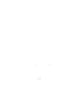 CCCCC1CCC(C2CCC(C#N)(CCCC)CC2)CC1